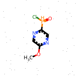 COc1cnc([PH](=O)Cl)cn1